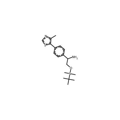 Cc1ncsc1-c1ccc(C(N)CO[Si](C)(C)C(C)(C)C)cc1